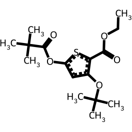 CCOC(=O)c1sc(OC(=O)C(C)(C)C)cc1OC(C)(C)C